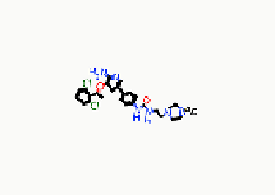 CC(=O)N1CCN(CCNC(=O)Nc2ccc(-c3cnc(N)c(OC(C)c4c(Cl)cccc4Cl)c3)cc2)CC1